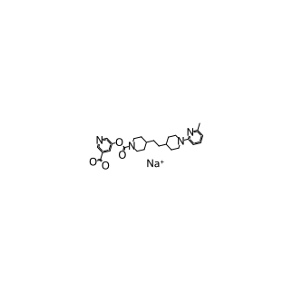 Cc1cccc(N2CCC(CCC3CCN(C(=O)Oc4cncc(C(=O)[O-])c4)CC3)CC2)n1.[Na+]